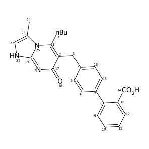 CCCCc1c(Cc2ccc(-c3ccccc3C(=O)O)cc2)c(=O)nc2[nH]cc(C)n12